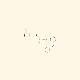 C=C(CCN1C(=O)C=CC1=O)NCCC(=O)N1Cc2ccccc2/C=C\c2ccccc21